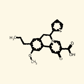 CCCc1cc2c(cc1OC)-c1cc(=O)c(C(=O)O)cn1C(c1cccs1)C2